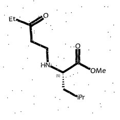 CCC(=O)CCN[C@@H](CC(C)C)C(=O)OC